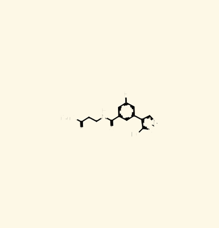 CCc1oncc1-c1cc(F)cc(C(=O)NCCC(=O)OCC(C)C)c1